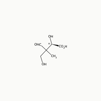 CC(C=O)(CO)[C@@H](O)C(=O)O